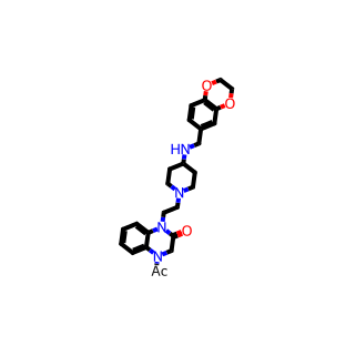 CC(=O)N1CC(=O)N(CCN2CCC(NCc3ccc4c(c3)OCCO4)CC2)c2ccccc21